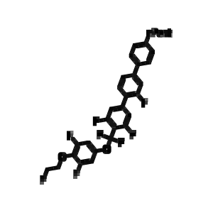 CCCCCc1ccc(-c2ccc(-c3cc(F)c(C(F)(F)Oc4cc(F)c(OCCF)c(F)c4)c(F)c3)c(F)c2)cc1